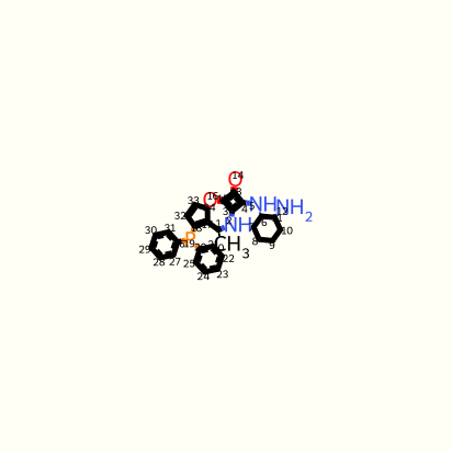 C[C@@H](Nc1c(N[C@H]2CCCC[C@@H]2N)c(=O)c1=O)C1=C(P(c2ccccc2)c2ccccc2)C=CC1